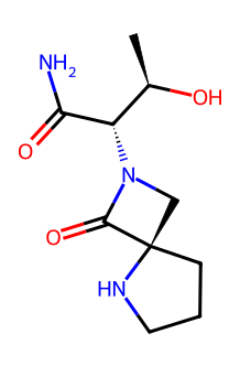 C[C@@H](O)[C@@H](C(N)=O)N1C[C@]2(CCCN2)C1=O